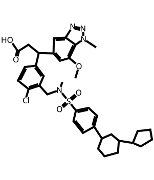 COc1cc(C(CC(=O)O)c2ccc(Cl)c(CN(C)S(=O)(=O)c3ccc(C4CCCC(C5CCCC5)C4)cc3)c2)cc2nnn(C)c12